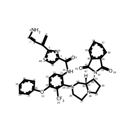 C=C(/C=C\N)c1nc(C(=O)Nc2ccc(Oc3ccccc3)c(C(F)(F)F)c2N2CCN3CC[C@@H](N4C(=O)c5ccccc5C4=O)[C@H]3C2)cs1